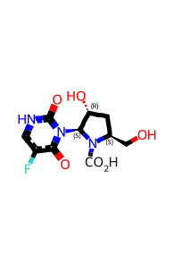 O=C(O)N1[C@H](CO)C[C@@H](O)[C@@H]1n1c(=O)[nH]cc(F)c1=O